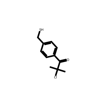 CC(C)(Cl)C(=O)c1ccc(CS)cc1